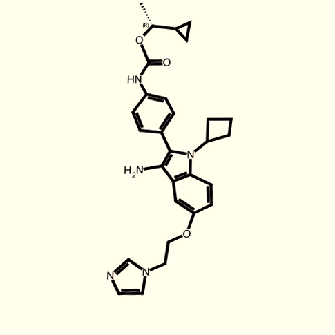 C[C@@H](OC(=O)Nc1ccc(-c2c(N)c3cc(OCCn4ccnc4)ccc3n2C2CCC2)cc1)C1CC1